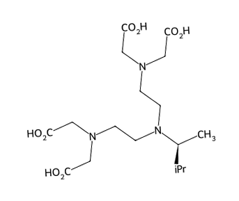 CC(C)[C@H](C)N(CCN(CC(=O)O)CC(=O)O)CCN(CC(=O)O)CC(=O)O